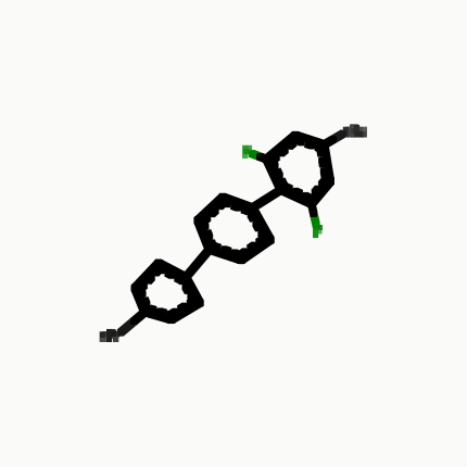 CCCCc1cc(F)c(-c2ccc(-c3ccc(CCC)cc3)cc2)c(F)c1